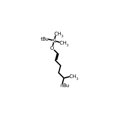 CCCCC(C)CCC=CO[Si](C)(C)C(C)(C)C